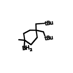 BC1(C)CCC(CC(C)(C)C)(CC(C)(C)C)CC1